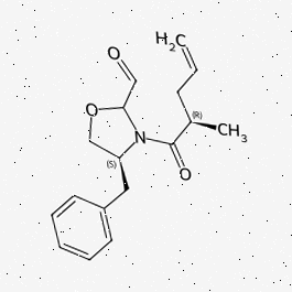 C=CC[C@@H](C)C(=O)N1C(C=O)OC[C@@H]1Cc1ccccc1